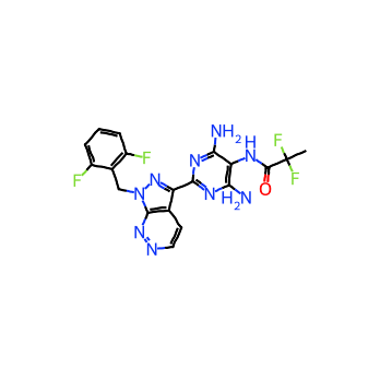 CC(F)(F)C(=O)Nc1c(N)nc(-c2nn(Cc3c(F)cccc3F)c3nnccc23)nc1N